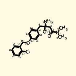 CN(C)C(=O)CC(N)(O)Cc1ccc(OCc2ccccc2Cl)cc1